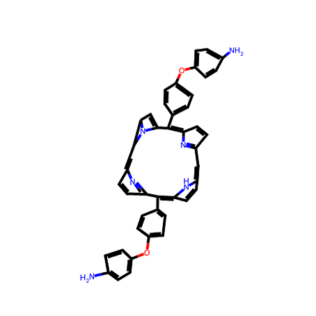 Nc1ccc(Oc2ccc(/C3=C4\C=CC(=N4)/C=c4/cc/c([nH]4)=C(\c4ccc(Oc5ccc(N)cc5)cc4)C4=N/C(=C\C5C6C=C3N65)C=C4)cc2)cc1